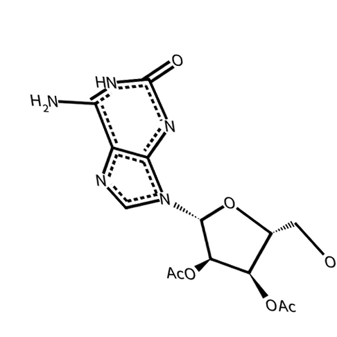 CC(=O)OC[C@H]1O[C@@H](n2cnc3c(N)[nH]c(=O)nc32)[C@H](OC(C)=O)[C@@H]1OC(C)=O